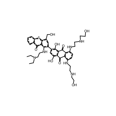 CCN(CC)CCNc1c(-c2cc(O)c3c(c2O)C(=O)c2c(NCCNCCO)ccc(NCCNCCO)c2C3=O)cc(CO)c2sc3ccccc3c(=O)c12